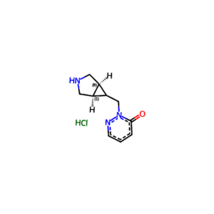 Cl.O=c1cccnn1CC1[C@H]2CNC[C@@H]12